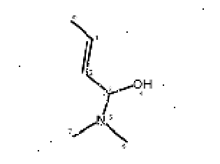 CC=CC(O)N(C)C